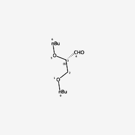 CCCCOC[C@@H](C=O)OCCCC